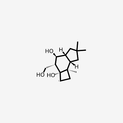 CC1(C)C[C@H]2[C@H](O)[C@@H](CO)[C@]3(O)[CH]C[C@]3(C)[C@H]2C1